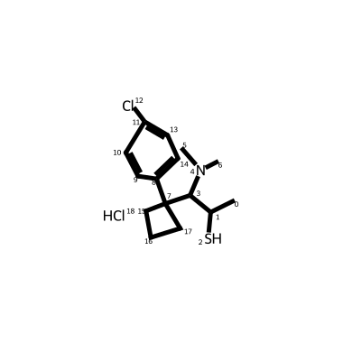 CC(S)C(N(C)C)C1(c2ccc(Cl)cc2)CCC1.Cl